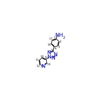 Nc1ccc(-c2nnn(-c3cccnc3)n2)cc1